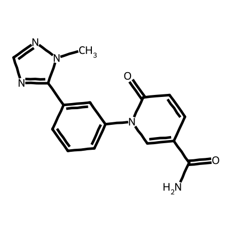 Cn1ncnc1-c1cccc(-n2cc(C(N)=O)ccc2=O)c1